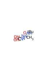 CN(C(=O)NC(C)(C)C)c1nc2cc(B(O)O)ccn2n1